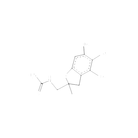 CC(=O)Oc1c(C(C)(C)C)cc2c(c1C(C)(C)C)CC(C)(CNC(N)=S)O2